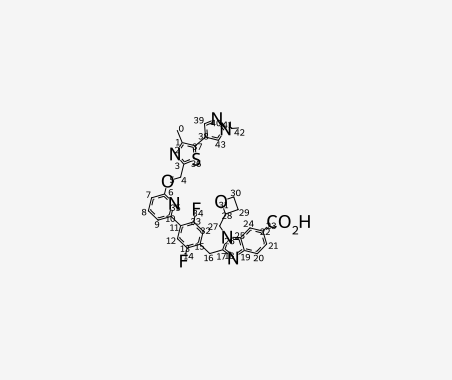 Cc1nc(COc2cccc(-c3cc(F)c(Cc4nc5ccc(C(=O)O)cc5n4CC4CCO4)cc3F)n2)sc1-c1cnn(C)c1